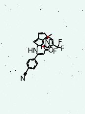 CC1=N/N2C(=O)C=C(c3ccc(C#N)cc3)NC2/C=C(c2ccc(C(F)(F)F)cc2)/C=C\1